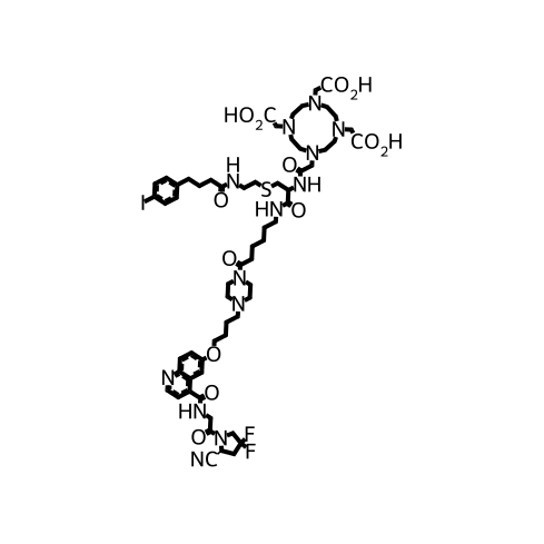 N#C[C@H]1CC(F)(F)CN1C(=O)CNC(=O)c1ccnc2ccc(OCCCCN3CCN(C(=O)CCCCCNC(=O)C(CSCCNC(=O)CCCc4ccc(I)cc4)NC(=O)CN4CCN(CC(=O)O)CCN(CC(=O)O)CCN(CC(=O)O)CC4)CC3)cc12